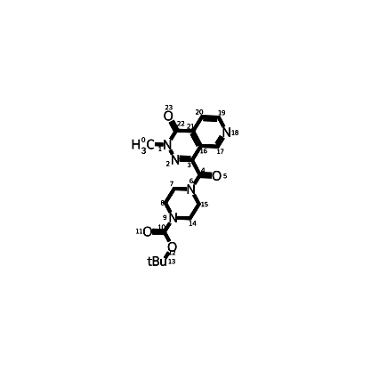 Cn1nc(C(=O)N2CCN(C(=O)OC(C)(C)C)CC2)c2cnccc2c1=O